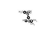 Cc1ccc(S(=O)(=O)N(CCc2ccc(-n3c(-c4cc[nH]n4)nc4c(C)cc(C)nc43)cc2)C(=O)O)cc1